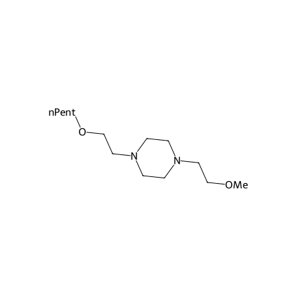 CCCCCOCCN1CCN(CCOC)CC1